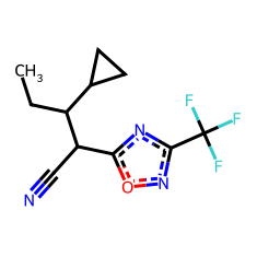 CCC(C1CC1)C(C#N)c1nc(C(F)(F)F)no1